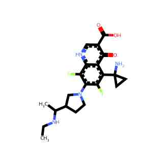 CCNC(C)C1CCN(c2c(F)c(C3(N)CC3)c3c(=O)c(C(=O)O)c[nH]c3c2F)C1